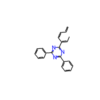 C=C/C=C\C(=C/C)c1nc(-c2ccccc2)nc(-c2ccccc2)n1